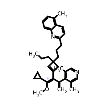 C=C(/C(C1=CC(CCC)(CCCc2ccc3c(C)cccc3n2)C1)=C(\OC)C1CC1)c1c(C)cncc1C